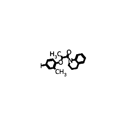 Cc1cc(I)ccc1OC(C)C(=O)N1CCCc2ccccc21